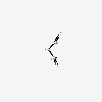 [O]=[Ce][O][Ce]=[O]